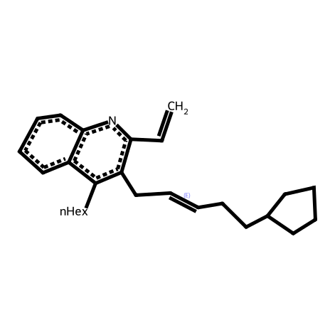 C=Cc1nc2ccccc2c(CCCCCC)c1C/C=C/CCC1CCCC1